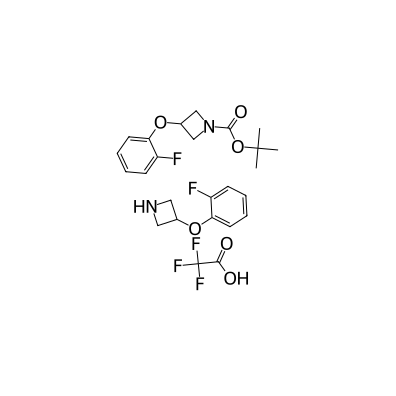 CC(C)(C)OC(=O)N1CC(Oc2ccccc2F)C1.Fc1ccccc1OC1CNC1.O=C(O)C(F)(F)F